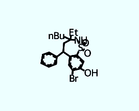 CCCCC1(CC)CC(c2ccccc2)c2cc(Br)c(O)cc2S(=O)(=O)N1